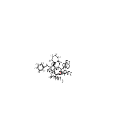 CCOP(=O)(OCC)C(O)[C@H](CC1CCCCC1)N(C(=O)[C@@H](N)Cc1ccccc1)[C@@H](CC(C)C)C(N)=O